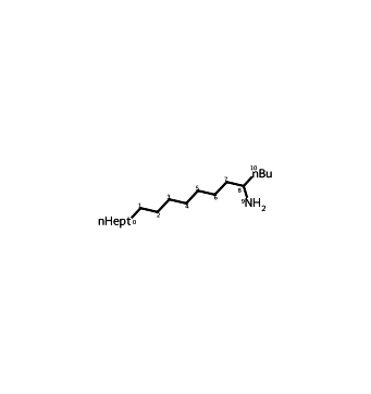 CCCCCCCCCCCCCCC(N)CCCC